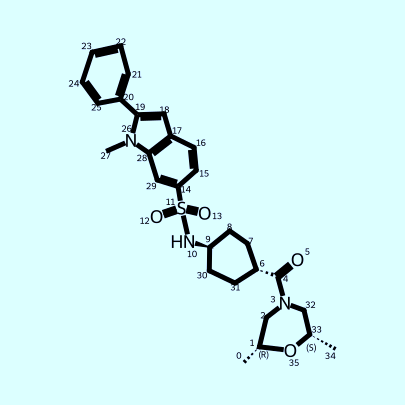 C[C@@H]1CN(C(=O)[C@H]2CC[C@H](NS(=O)(=O)c3ccc4cc(-c5ccccc5)n(C)c4c3)CC2)C[C@H](C)O1